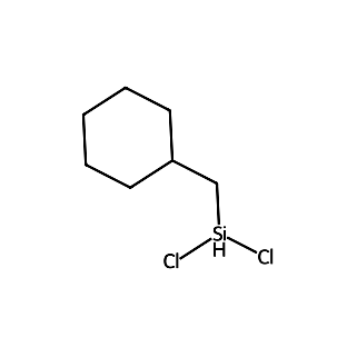 Cl[SiH](Cl)CC1CCCCC1